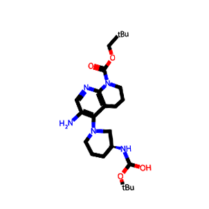 CC(C)(C)COC(=O)N1CCCc2c1ncc(N)c2N1CCC[C@H](NC(O)OC(C)(C)C)C1